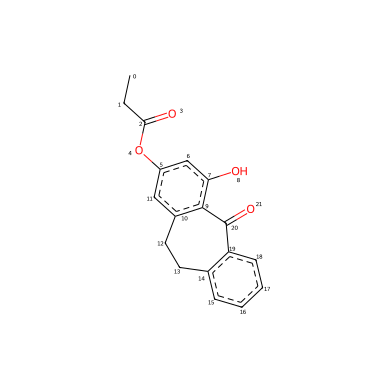 CCC(=O)Oc1cc(O)c2c(c1)CCc1ccccc1C2=O